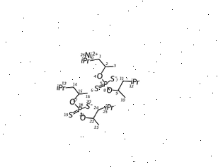 CC(C)CC(C)OP(=S)([S-])OC(C)CC(C)C.CC(C)CC(C)OP(=S)([S-])OC(C)CC(C)C.[Ni+2]